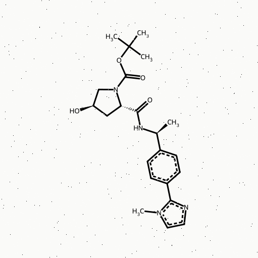 C[C@H](NC(=O)[C@@H]1C[C@@H](O)CN1C(=O)OC(C)(C)C)c1ccc(-c2nccn2C)cc1